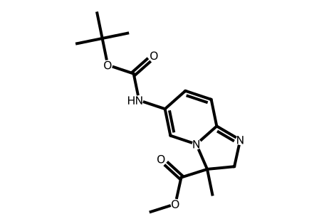 COC(=O)C1(C)CN=C2C=CC(NC(=O)OC(C)(C)C)=CN21